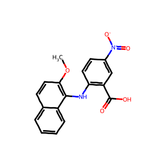 COc1ccc2ccccc2c1Nc1ccc([N+](=O)[O-])cc1C(=O)O